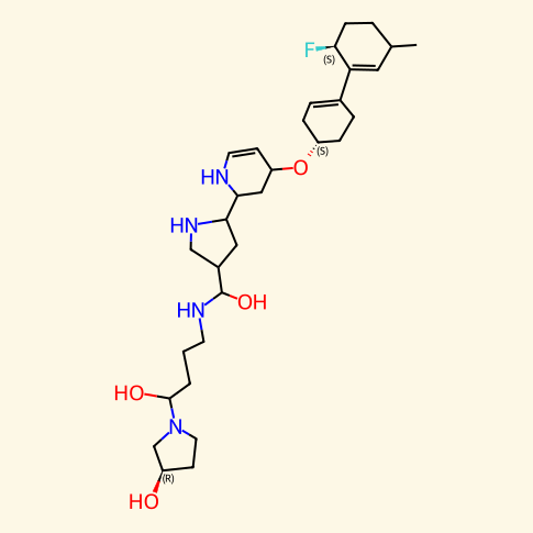 CC1C=C(C2=CC[C@@H](OC3C=CNC(C4CC(C(O)NCCCC(O)N5CC[C@@H](O)C5)CN4)C3)CC2)[C@@H](F)CC1